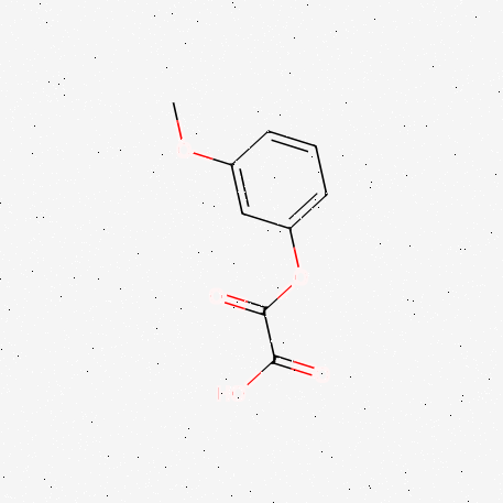 COc1cccc(OC(=O)C(=O)O)c1